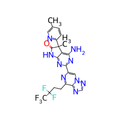 Cc1ccc(C2(C)C(=O)Nc3nc(-c4cn5ncnc5c(CCC(F)(F)C(F)(F)F)n4)nc(N)c32)nc1